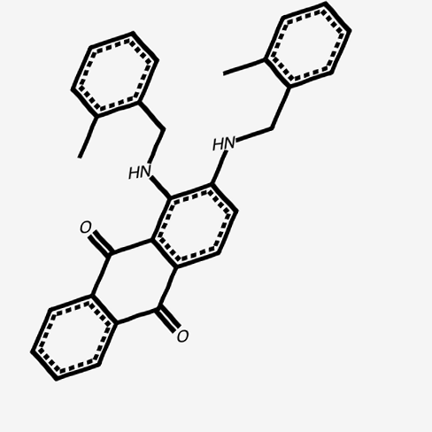 Cc1ccccc1CNc1ccc2c(c1NCc1ccccc1C)C(=O)c1ccccc1C2=O